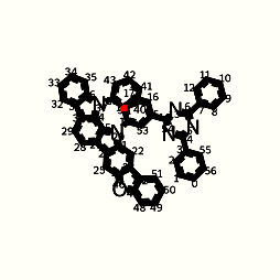 c1ccc(-c2nc(-c3ccccc3)nc(-c3cccc(-n4c5cc6c(cc5c5ccc7c8ccccc8n(-c8ccccc8)c7c54)oc4ccccc46)c3)n2)cc1